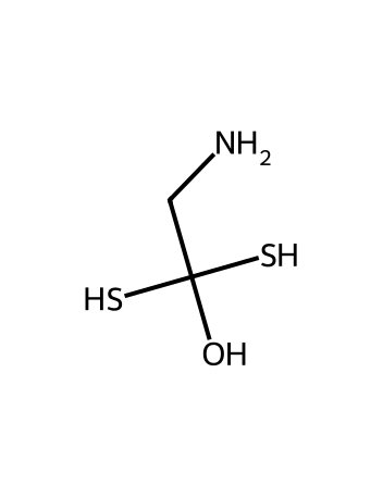 NCC(O)(S)S